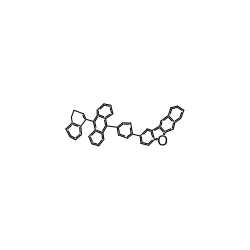 C1=C(c2c3ccccc3c(-c3ccc(-c4ccc5oc6cc7ccccc7cc6c5c4)cc3)c3ccccc23)c2ccccc2CC1